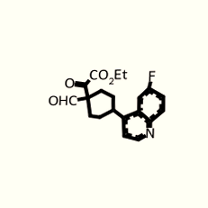 CCOC(=O)C(=O)C1(C=O)CCC(c2ccnc3ccc(F)cc23)CC1